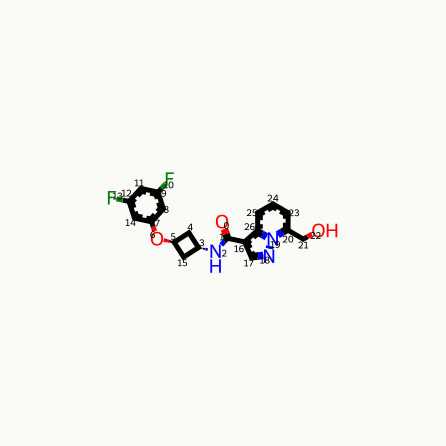 O=C(N[C@H]1C[C@H](Oc2cc(F)cc(F)c2)C1)c1cnn2c(CO)cccc12